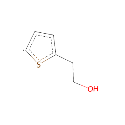 OCCc1cc[c]s1